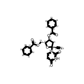 N#C[C@]1(n2ccc(=O)[nH]c2=O)C[C@H](OC(=O)c2ccccc2)[C@@H](COC(=O)c2ccccc2)O1